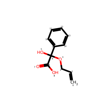 C=CCOC(O)(C(=O)O)c1ccccc1